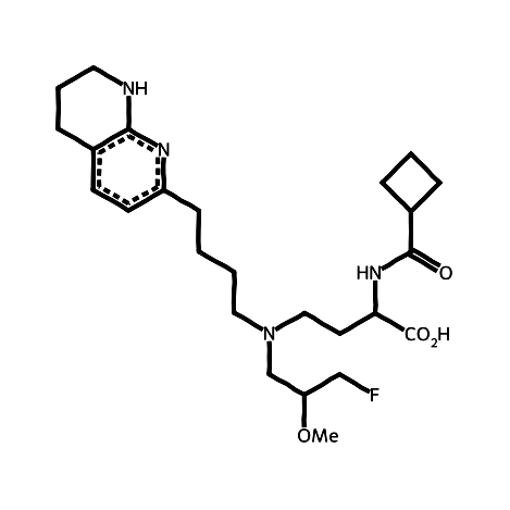 COC(CF)CN(CCCCc1ccc2c(n1)NCCC2)CCC(NC(=O)C1CCC1)C(=O)O